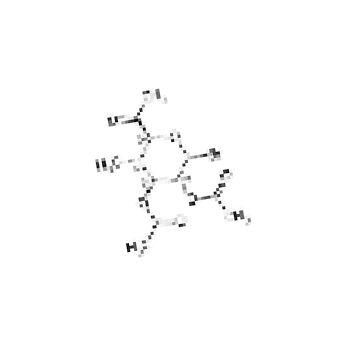 CC(=O)O[C@H]1[C@H](C)[C@@H](C(C)=O)OC(Br)[C@@H]1OC(C)=O